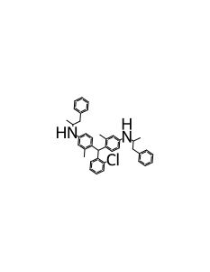 Cc1cc(NC(C)Cc2ccccc2)ccc1C(c1ccc(NC(C)Cc2ccccc2)cc1C)c1ccccc1Cl